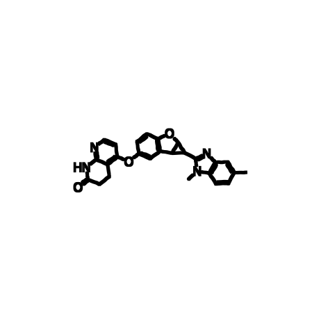 Cc1ccc2c(c1)nc(C1C3Oc4ccc(Oc5ccnc6c5CCC(=O)N6)cc4C31)n2C